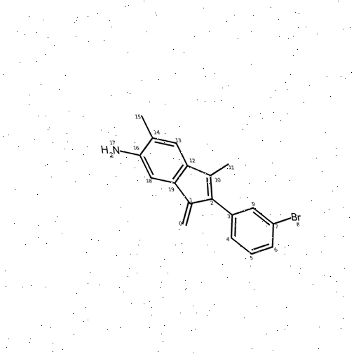 C=C1C(c2cccc(Br)c2)=C(C)c2cc(C)c(N)cc21